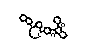 c1cccc(-c2ccc3c(c2)oc2c4ccccc4c4oc5ccccc5c4c32)c2ccccc2c(-c2ccc3ccccc3c2)cc1